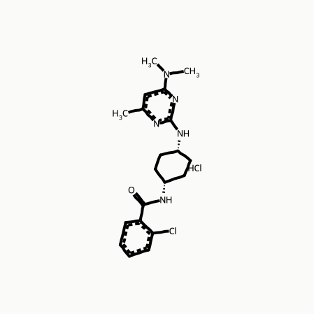 Cc1cc(N(C)C)nc(N[C@H]2CC[C@@H](NC(=O)c3ccccc3Cl)CC2)n1.Cl